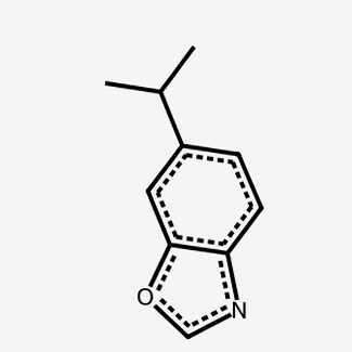 CC(C)c1ccc2ncoc2c1